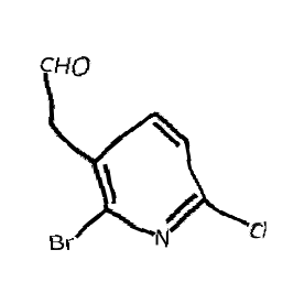 O=CCc1ccc(Cl)nc1Br